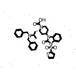 CC(C[C@H]1CC(n2c(=O)n(S(=O)(=O)c3cccs3)c3ccccc32)CCN1C(=O)O)N(Cc1ccccc1)Cc1ccccc1